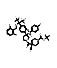 CC(C)(C)OC(=O)N1CCC(C#N)(C(=O)N2CCC(c3ccc(C(OCc4c(F)cccc4F)(C(F)(F)F)C(F)(F)F)cc3)(S(=O)(=O)c3ccc(F)cc3)C2)CC1